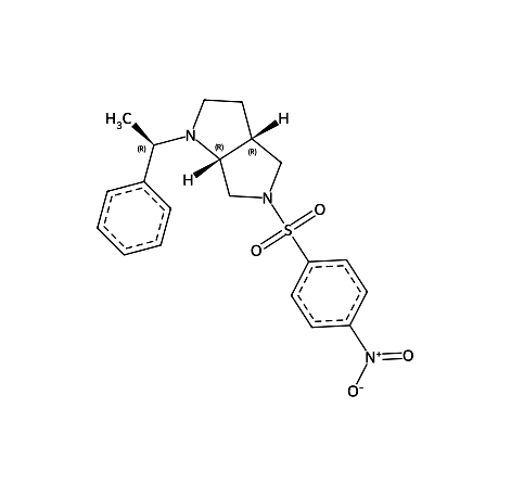 C[C@H](c1ccccc1)N1CC[C@@H]2CN(S(=O)(=O)c3ccc([N+](=O)[O-])cc3)C[C@@H]21